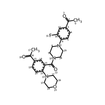 CC(=O)c1ccc(N2CCN(C(=O)c3cc(C(C)=O)ccc3N3CCOCC3)CC2)c(F)c1